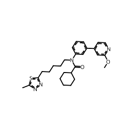 COc1cc(-c2cccc(N(CCCCCc3nnc(C)s3)C(=O)C3CCCCC3)c2)ccn1